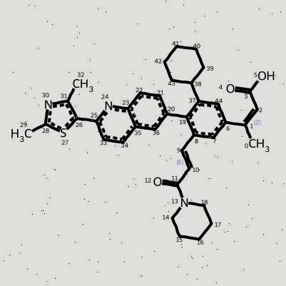 C/C(=C/C(=O)O)c1cc(/C=C/C(=O)N2CCCCC2)c(-c2ccc3nc(-c4sc(C)nc4C)ccc3c2)c(C2CCCCC2)c1